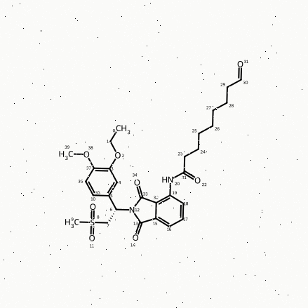 CCOc1cc([C@@H](CS(C)(=O)=O)N2C(=O)c3cccc(NC(=O)CCCCCCCC=O)c3C2=O)ccc1OC